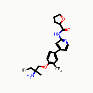 CC(C)CC(C)(N)COc1ccc(-c2ccnc(NC(=O)C3CCCO3)c2)cc1C(F)(F)F